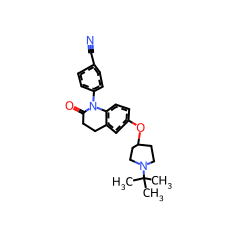 CC(C)(C)N1CCC(Oc2ccc3c(c2)CCC(=O)N3c2ccc(C#N)cc2)CC1